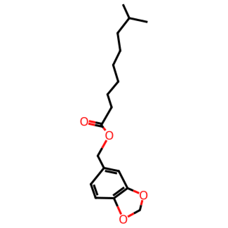 CC(C)CCCCCCC(=O)OCc1ccc2c(c1)OCO2